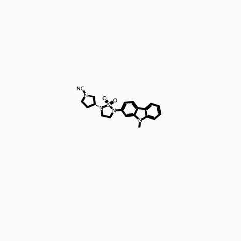 Cn1c2ccccc2c2ccc(N3CCN([C@@H]4CCN(C#N)C4)S3(=O)=O)cc21